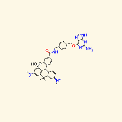 CN(C)c1ccc2c(c1)[Si](C)(C)C1=CC(=[N+](C)C)C=CC1=C2c1ccc(C(=O)NCc2ccc(COc3nc(N)nc4[nH]cnc34)cc2)cc1C(=O)O